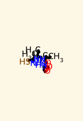 CCC(C)C(CNC(C(=O)NC1CCOC1=O)C(C)CC)NCC(N)CS